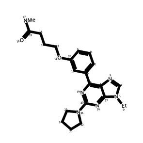 CCn1cnc2c(-c3cccc(OCCCC(=O)NC)c3)nc(N3CCCC3)nc21